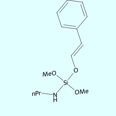 CCCN[Si](OC)(OC)OC=Cc1ccccc1